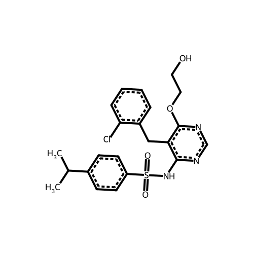 CC(C)c1ccc(S(=O)(=O)Nc2ncnc(OCCO)c2Cc2ccccc2Cl)cc1